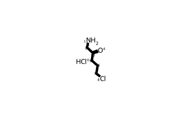 Cl.NCC(=O)CCCCl